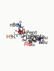 CCCCCC(C[Si](C)(O)CCCS)(c1ccc(N(C)CCCC)cc1)c1cccc(C(CCCCC)(C[Si](C)(O)CCCS)c2ccc(N(CCCC)CCCC)cc2)c1